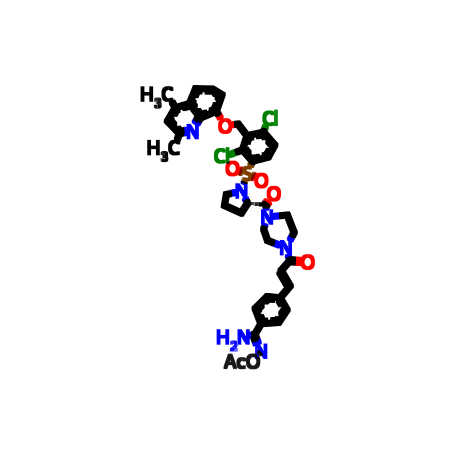 CC(=O)ON=C(N)c1ccc(/C=C/C(=O)N2CCN(C(=O)[C@@H]3CCCN3S(=O)(=O)c3ccc(Cl)c(COc4cccc5c(C)cc(C)nc45)c3Cl)CC2)cc1